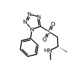 CN[C@@H](C)CS(=O)(=O)c1nnnn1-c1ccccc1